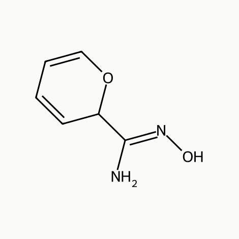 NC(=NO)C1C=CC=CO1